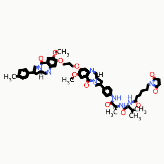 COc1cc2c(cc1OCCCOc1cc3c(cc1OC)C(=O)N1C=C(c4ccc(NC(=O)[C@H](C)NC(=O)[C@@H](NC(=O)CCCCCN5C(=O)C=CC5=O)C(C)C)cc4)C[C@H]1C=N3)N=C[C@@H]1CC(c3ccc(C)cc3)=CN1C2=O